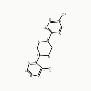 Clc1ccc(N2CCN(c3ccccc3Cl)CC2)nn1